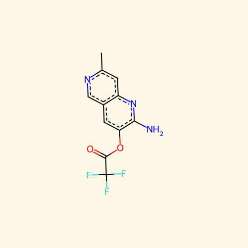 Cc1cc2nc(N)c(OC(=O)C(F)(F)F)cc2cn1